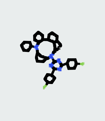 Fc1ccc(-c2nc(-c3ccc(F)cc3)nc(-n3c4ccc5cccc(c5c4)c4ccccc4n(-c4ccccc4)c4cccc3c4)n2)cc1